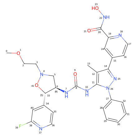 COCCN1C[C@@H](NC(=O)Nc2c(C)c(-c3ccnc(C(=O)NO)c3)nn2-c2ccccc2)[C@H](c2ccnc(F)c2)O1